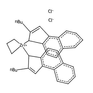 CCCCC1=Cc2c(ccc3ccccc23)[CH]1[Zr+2]1([CH]2C(CCCC)=Cc3c2ccc2ccccc32)[CH2]C[CH2]1.[Cl-].[Cl-]